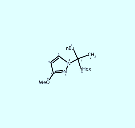 CCCCCCC(C)(CCCC)n1ccc(OC)n1